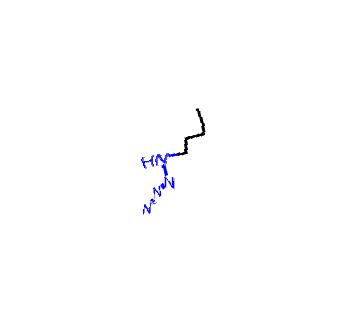 CCCCNN=[N+]=[N-]